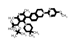 COc1cnc(N2CCc3cc(-c4c(C)nc(C)c([C@H](OC(C)(C)C)C(=O)O)c4N4CCC(C)(C)CC4)ccc3C2)nc1